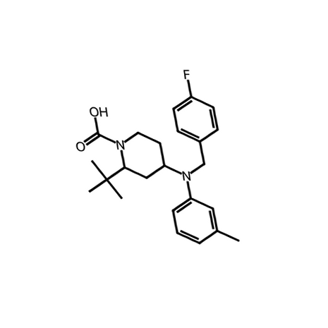 Cc1cccc(N(Cc2ccc(F)cc2)C2CCN(C(=O)O)C(C(C)(C)C)C2)c1